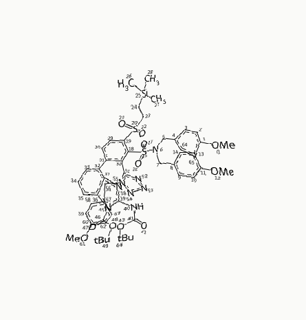 COc1ccc(CN(Cc2ccc(OC)cc2)S(=O)(=O)c2c(S(=O)(=O)CC[Si](C)(C)C)ccc(-c3cccc4c3nc(NC(=O)OC(C)(C)C)n4C(=O)OC(C)(C)C)c2-c2nnnn2Cc2ccc(OC)cc2)cc1